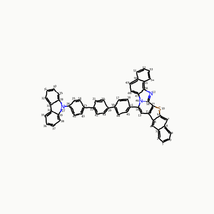 c1ccc2cc3c(cc2c1)sc1c3cc(-c2ccc(-c3ccc(-c4ccc(-n5c6ccccc6c6ccccc65)cc4)cc3)cc2)n2c3ccc4ccccc4c3nc12